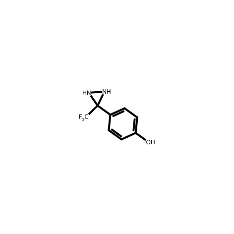 Oc1ccc(C2(C(F)(F)F)NN2)cc1